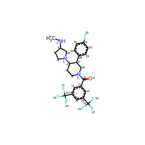 CNC1CCN(C2CCN(C(=O)c3cc(C(F)(F)F)cc(C(F)(F)F)c3)CC2c2ccc(F)cc2)C1